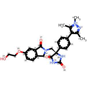 Cc1nn(C)c(C)c1-c1ccc([C@]2(CN3Cc4ccc(OCCO)cc4C3=O)NC(=O)NC2=O)cc1